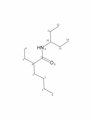 CCCCC(CC)C(=O)NC(CC)CC